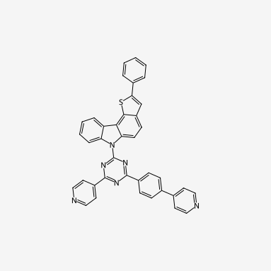 c1ccc(-c2cc3ccc4c(c5ccccc5n4-c4nc(-c5ccncc5)nc(-c5ccc(-c6ccncc6)cc5)n4)c3s2)cc1